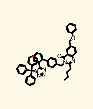 CCCCc1nc2ccc(COc3ccccc3)cc2c(=O)n1Cc1ccc(-c2ccccc2-c2nnnn2C(c2ccccc2)(c2ccccc2)c2ccccc2)cc1